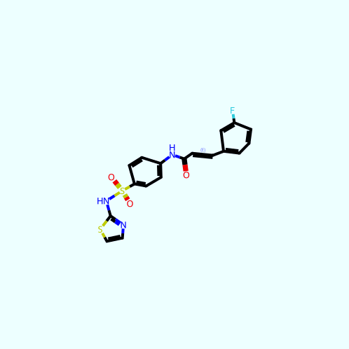 O=C(/C=C/c1cccc(F)c1)Nc1ccc(S(=O)(=O)Nc2nccs2)cc1